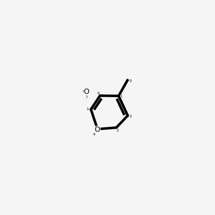 CC1=CCOC=C1.[O]